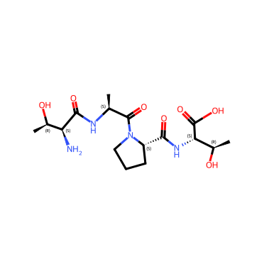 C[C@H](NC(=O)[C@@H](N)[C@@H](C)O)C(=O)N1CCC[C@H]1C(=O)N[C@H](C(=O)O)[C@@H](C)O